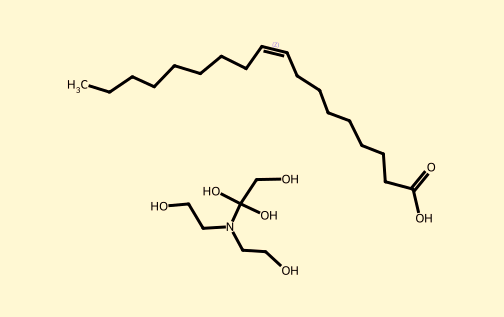 CCCCCCCC/C=C\CCCCCCCC(=O)O.OCCN(CCO)C(O)(O)CO